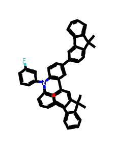 CC1(C)c2ccccc2-c2cc(-c3ccc(N(c4ccccc4)c4cccc(F)c4)c(-c4ccc5c(c4)C(C)(C)c4ccccc4-5)c3)ccc21